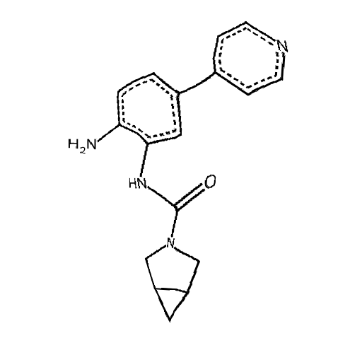 Nc1ccc(-c2ccncc2)cc1NC(=O)N1CC2CC2C1